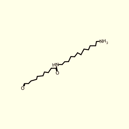 NCCCCCCCCCCCCNC(=O)CCCCCCCCC=O